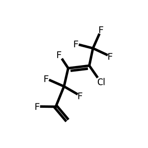 C=C(F)C(F)(F)C(F)=C(Cl)C(F)(F)F